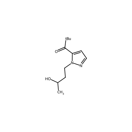 CC(O)CCn1nccc1C(=O)C(C)(C)C